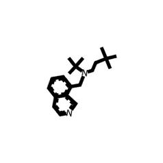 CC(C)(C)CCN(Cc1cccc2ccncc12)C(C)(C)C